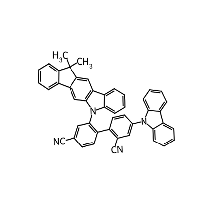 CC1(C)c2ccccc2-c2cc3c(cc21)c1ccccc1n3-c1cc(C#N)ccc1-c1ccc(-n2c3ccccc3c3ccccc32)cc1C#N